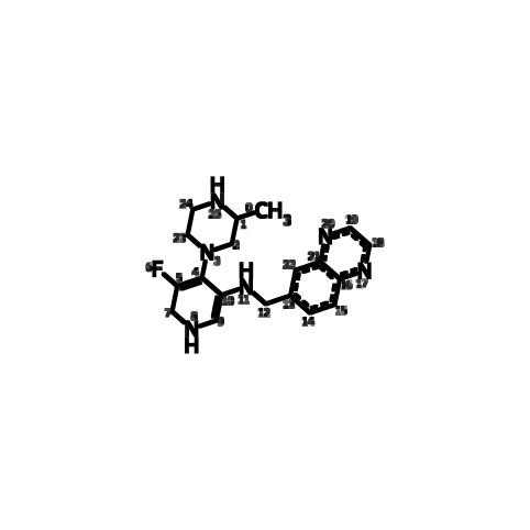 CC1CN(C2=C(F)CNC=C2NCc2ccc3nccnc3c2)CCN1